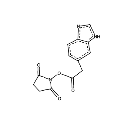 O=C(Cc1ccc2nc[nH]c2c1)ON1C(=O)CCC1=O